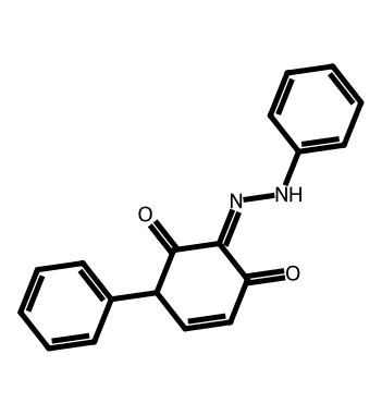 O=C1C=CC(c2ccccc2)C(=O)C1=NNc1ccccc1